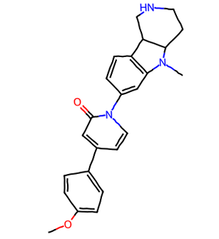 COc1ccc(-c2ccn(-c3ccc4c(c3)N(C)C3CCNCC43)c(=O)c2)cc1